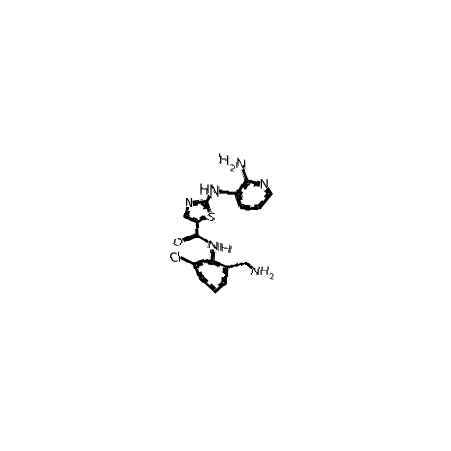 NCc1cccc(Cl)c1NC(=O)c1cnc(Nc2cccnc2N)s1